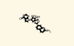 Nc1ccc2ccc([C@@H]3C[C@@]4(CO3)C[C@@H](n3ccc5c(Cl)ncnc53)[C@H](O)[C@@H]4O)cc2n1